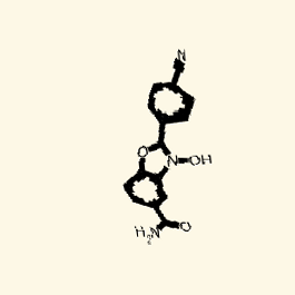 N#Cc1ccc(C2Oc3ccc(C(N)=O)cc3N2O)cc1